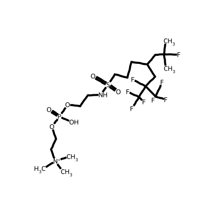 CC(C)(F)CC(CCCS(=O)(=O)NCCOP(=O)(O)OCC[N+](C)(C)C)CC(F)(C(F)(F)F)C(F)(F)F